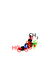 CCOc1ccc(S(=O)(=O)C23CCCN(C(=O)C45CCC(C(=O)O)(CC4)CC5)C2COc2cc(C(F)(C(F)(F)F)C(F)(F)F)ccc23)cc1